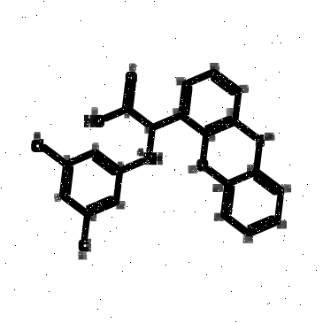 O=C(O)C(Nc1cc(Cl)cc(Cl)c1)c1cccc2c1Oc1ccccc1S2